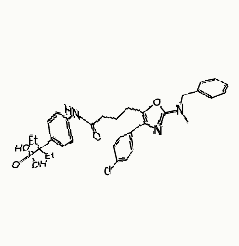 CCC(CC)(c1ccc(NC(=O)CCCc2oc(N(C)Cc3ccccc3)nc2-c2ccc(Cl)cc2)cc1)P(=O)(O)O